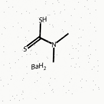 CN(C)C(=S)S.[BaH2]